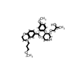 COCCCN1CCOc2ccc(CO[C@H]3CNC[C@@H](OCC(C)O)[C@@H]3c3ccc(OC)cc3)cc21